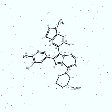 CN[C@@H]1CCCN(c2nccn3c(-c4cc5nnn(C)c5cc4F)c(-c4ccc(C#N)c(F)c4)nc23)C1